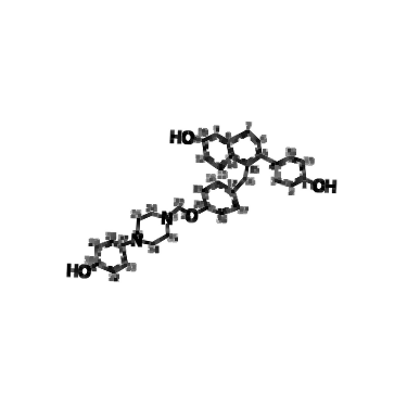 Oc1ccc(-c2ccc3cc(O)ccc3c2Cc2ccc(OCN3CCN(c4ccc(O)cc4)CC3)cc2)cc1